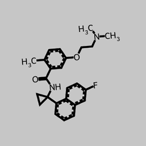 Cc1ccc(OCCN(C)C)cc1C(=O)NC1(c2cccc3cc(F)ccc23)CC1